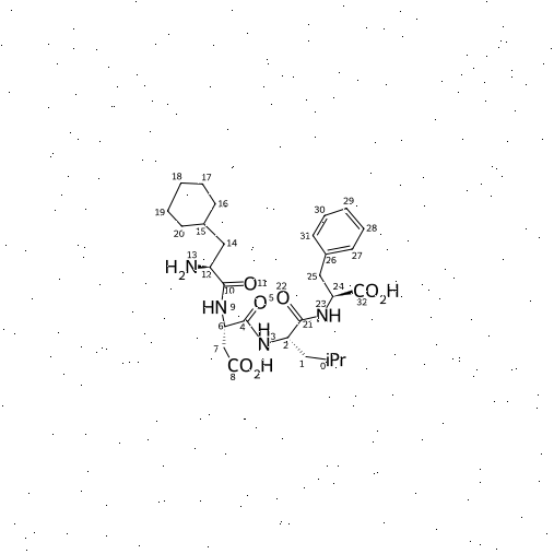 CC(C)C[C@H](NC(=O)[C@H](CC(=O)O)NC(=O)[C@@H](N)CC1CCCCC1)C(=O)N[C@@H](Cc1ccccc1)C(=O)O